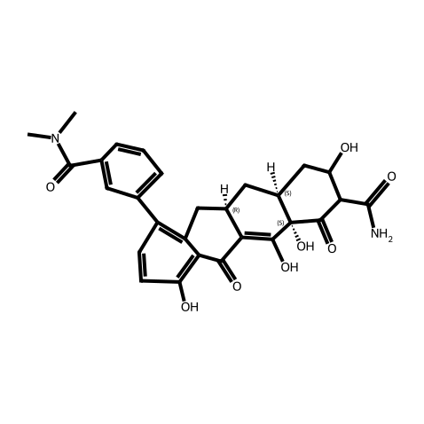 CN(C)C(=O)c1cccc(-c2ccc(O)c3c2C[C@H]2C[C@H]4CC(O)C(C(N)=O)C(=O)[C@@]4(O)C(O)=C2C3=O)c1